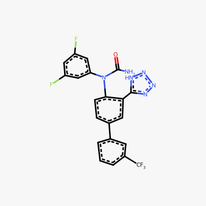 NC(=O)N(c1cc(F)cc(F)c1)c1ccc(-c2cccc(C(F)(F)F)c2)cc1-c1nnn[nH]1